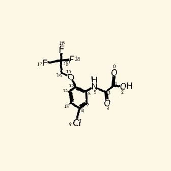 O=C(O)C(=O)Nc1cc(Cl)ccc1OCC(F)(F)F